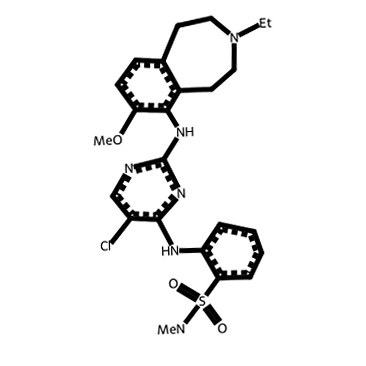 CCN1CCc2ccc(OC)c(Nc3ncc(Cl)c(Nc4ccccc4S(=O)(=O)NC)n3)c2CC1